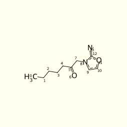 CCCCCC(=O)Cn1ccoc1=[N]